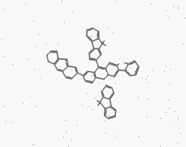 CC1(C)c2ccccc2-c2ccc(C3=C4C=C5C(=CC4[C@@H](c4ccc6c(c4)C(C)(C)c4ccccc4-6)c4ccc(-c6ccc7cc8c(cc7c6)C=CCC8)cc43)c3ccccc3[Si]5(C)C)cc21